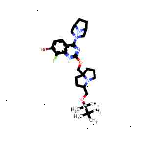 CC(C)(C)[Si](C)(C)OCC1CCC2(COc3nc(N4CC5CCC(C4)N5)c4ccc(Br)c(F)c4n3)CCCN12